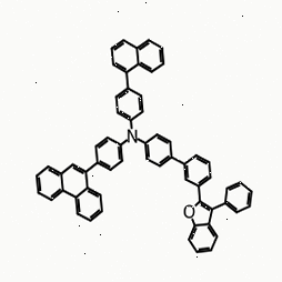 c1ccc(-c2c(-c3cccc(-c4ccc(N(c5ccc(-c6cccc7ccccc67)cc5)c5ccc(-c6cc7ccccc7c7ccccc67)cc5)cc4)c3)oc3ccccc23)cc1